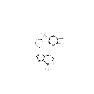 C[C@@](O)(c1ccc2c(c1)CC2)[C@H]1O[C@@H](n2ccc3c(N)ncnc32)[C@H](O)[C@@H]1O